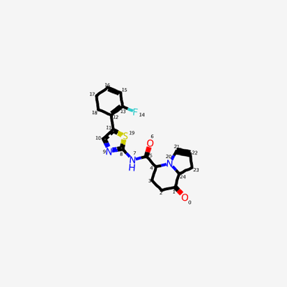 O=C1CCC(C(=O)Nc2ncc(C3=C(F)C=CCC3)s2)N2C#CCC12